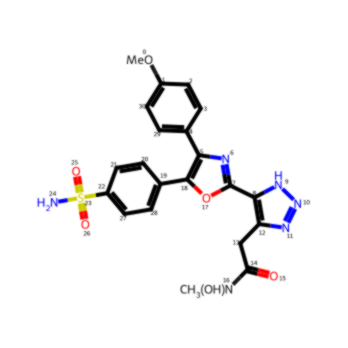 COc1ccc(-c2nc(-c3[nH]nnc3CC(=O)N(C)O)oc2-c2ccc(S(N)(=O)=O)cc2)cc1